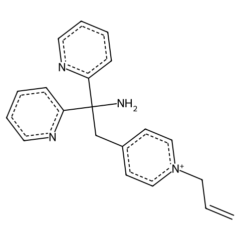 C=CC[n+]1ccc(CC(N)(c2ccccn2)c2ccccn2)cc1